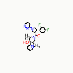 C[C@@H]1CN(C(=O)[C@@H]2CN(c3cccnn3)C[C@H]2c2ccc(F)cc2F)C[C@H](C)C1(O)c1ccccn1